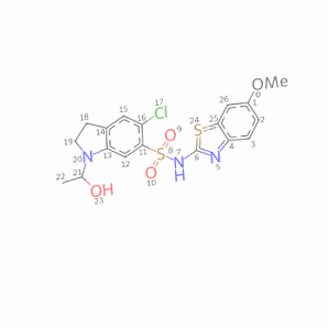 COc1ccc2nc(NS(=O)(=O)c3cc4c(cc3Cl)CCN4C(C)O)sc2c1